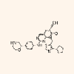 C#Cc1cc2cnc(Nc3ccc(C4CNCCO4)cc3)nc2n(Cc2scnc2C2=CCCC2)c1=O